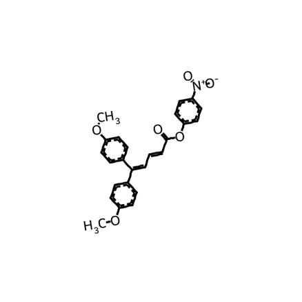 COc1ccc(C(=CC=CC(=O)Oc2ccc([N+](=O)[O-])cc2)c2ccc(OC)cc2)cc1